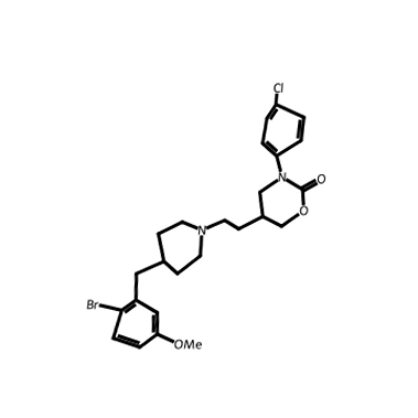 COc1ccc(Br)c(CC2CCN(CCC3COC(=O)N(c4ccc(Cl)cc4)C3)CC2)c1